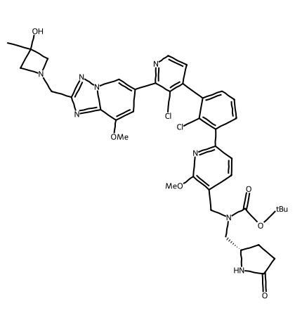 COc1nc(-c2cccc(-c3ccnc(-c4cc(OC)c5nc(CN6CC(C)(O)C6)nn5c4)c3Cl)c2Cl)ccc1CN(C[C@@H]1CCC(=O)N1)C(=O)OC(C)(C)C